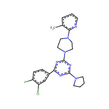 Fc1ccc(-c2nc(N3CCCC3)nc(N3CCN(c4ncccc4C(F)(F)F)CC3)n2)cc1Cl